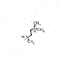 C[SiH2]CC[SiH](C)C